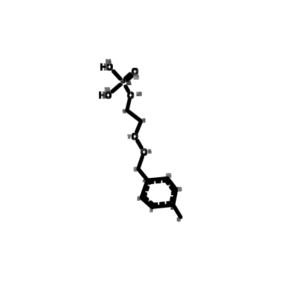 Cc1ccc(COOCCOP(=O)(O)O)cc1